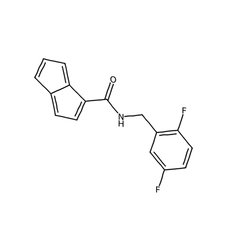 O=C(NCc1cc(F)ccc1F)C1=CC=C2C=CC=C21